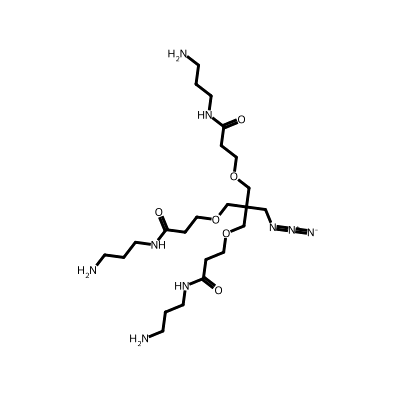 [N-]=[N+]=NCC(COCCC(=O)NCCCN)(COCCC(=O)NCCCN)COCCC(=O)NCCCN